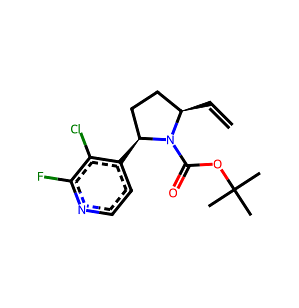 C=C[C@@H]1CC[C@H](c2ccnc(F)c2Cl)N1C(=O)OC(C)(C)C